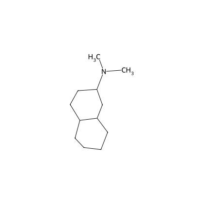 CN(C)C1CCC2CCCCC2C1